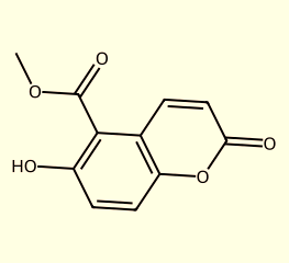 COC(=O)c1c(O)ccc2oc(=O)ccc12